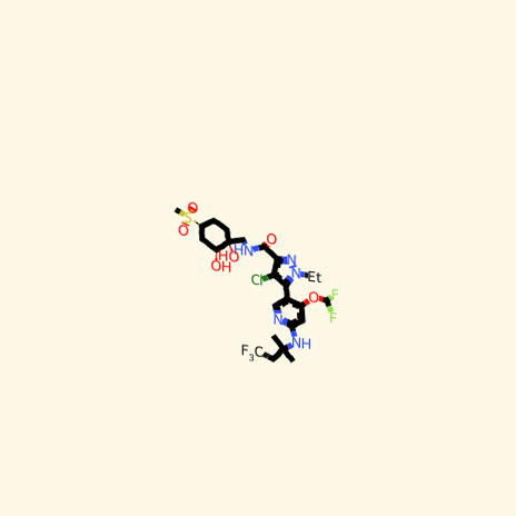 CCn1nc(C(=O)NC[C@]2(O)CC[C@@H](S(C)(=O)=O)C[C@H]2O)c(Cl)c1-c1cnc(NC(C)(C)CC(F)(F)F)cc1OC(F)F